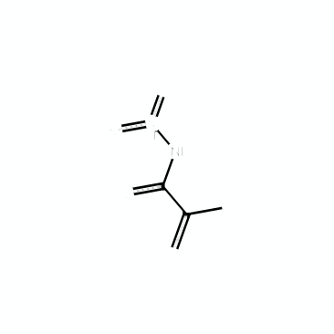 C=C(C)C(=O)N[SH](=O)=O